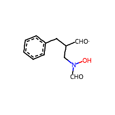 O=[C]C(Cc1ccccc1)CN(O)C=O